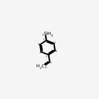 C=Cc1ccc([SiH3])cc1